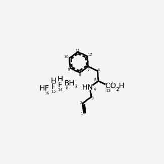 B.C=CCNC(Cc1ccccc1)C(=O)O.F.F.F